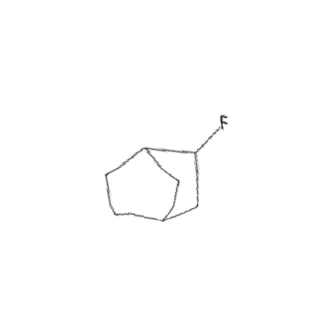 FC1CC2CCC1C2